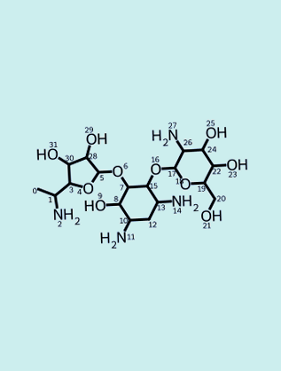 CC(N)C1OC(OC2C(O)C(N)CC(N)C2OC2OC(CO)C(O)C(O)C2N)C(O)C1O